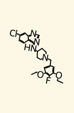 CCOc1cc(CN2CCC(Nc3ncnc4cc(Cl)ccc34)CC2)cc(OCC)c1F